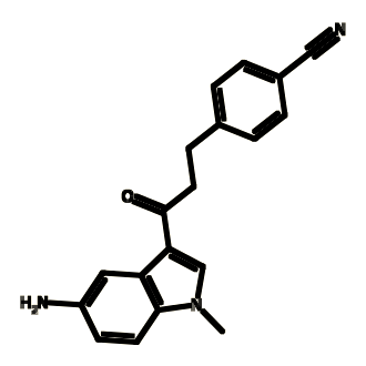 Cn1cc(C(=O)CCc2ccc(C#N)cc2)c2cc(N)ccc21